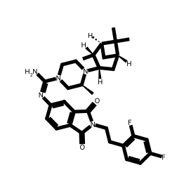 C[C@H]1[C@@H](N2CCN(C(N)=Nc3ccc4c(c3)C(=O)N(CCc3ccc(F)cc3F)C4=O)C[C@@H]2C)C[C@@H]2C[C@@H]1C2(C)C